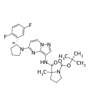 CC(C)(C)OC(=O)N1CCCC1(C)C(=O)Nc1cnn2ccc(N3CCC[C@@H]3c3cc(F)ccc3F)nc12